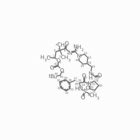 CC(CC(C)(C)C(=O)N=C(N)N1CCC(CNC(=O)[C@@H]2CCCN2C(=O)[C@@H](Cc2ccccc2)NS(C)(=O)=O)CC1)OC(=O)OCC(C)(C)C